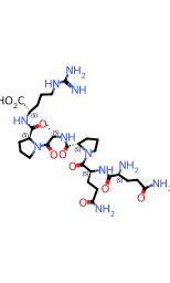 C[C@H](NC(=O)[C@@H]1CCCN1C(=O)[C@H](CCC(N)=O)NC(=O)[C@@H](N)CCC(N)=O)C(=O)N1CCC[C@H]1C(=O)N[C@@H](CCCNC(=N)N)C(=O)O